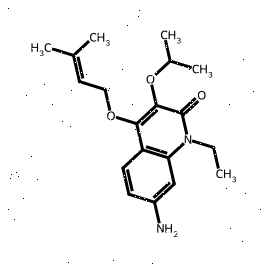 CCn1c(=O)c(OC(C)C)c(OCC=C(C)C)c2ccc(N)cc21